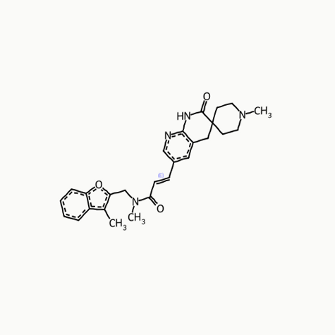 Cc1c(CN(C)C(=O)/C=C/c2cnc3c(c2)CC2(CCN(C)CC2)C(=O)N3)oc2ccccc12